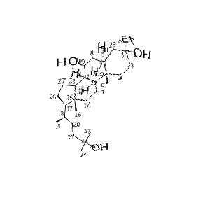 CC[C@]1(O)CC[C@@]2(C)[C@@H](C[C@H](O)[C@@H]3[C@@H]2CC[C@]2(C)[C@@H]([C@H](C)CCC(C)(C)O)CC[C@@H]32)C1